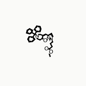 CCOC(=O)CCCn1ccc(C=C2CN(C(c3ccccc3)(c3ccccc3)c3ccccc3)CCC2=O)n1